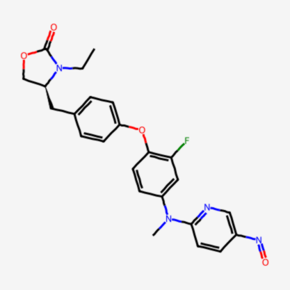 CCN1C(=O)OC[C@@H]1Cc1ccc(Oc2ccc(N(C)c3ccc(N=O)cn3)cc2F)cc1